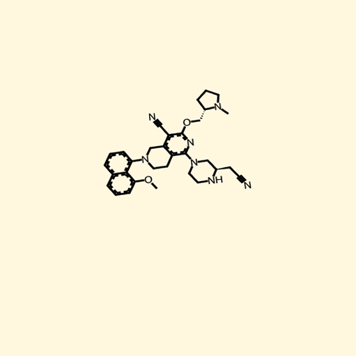 COc1cccc2cccc(N3CCc4c(N5CCN[C@H](CC#N)C5)nc(OC[C@@H]5CCCN5C)c(C#N)c4C3)c12